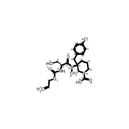 C=CCOC(=O)N[C@@H](CO)C(=O)N(C)C1(Cc2ccc(Cl)cc2)CCCN(C(=O)O)C1